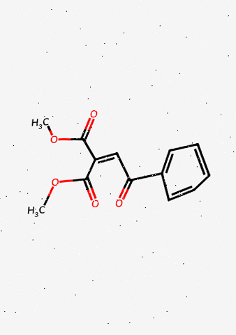 COC(=O)C(=CC(=O)c1ccccc1)C(=O)OC